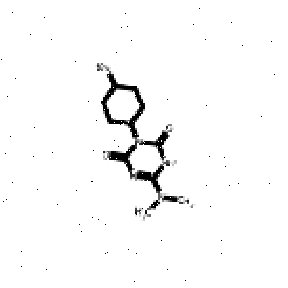 CN(C)c1nc(=O)n(C2CCC(C(C)(C)C)CC2)c(=O)[nH]1